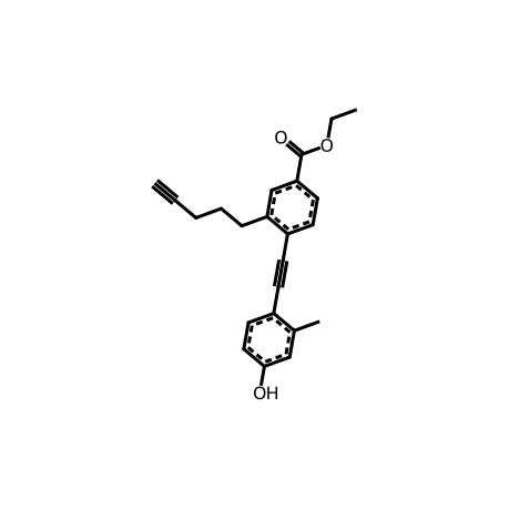 C#CCCCc1cc(C(=O)OCC)ccc1C#Cc1ccc(O)cc1C